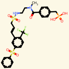 CN(CCNS(=O)(=O)CC=Cc1cc(S(=O)(=O)c2ccccc2)ccc1C(F)(F)F)C(=O)c1ccc(CP(=O)(O)O)cc1